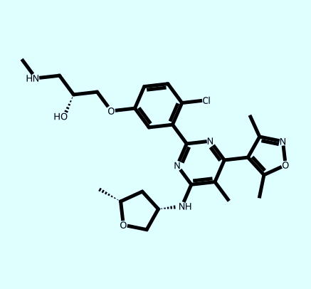 CNC[C@@H](O)COc1ccc(Cl)c(-c2nc(N[C@@H]3CO[C@H](C)C3)c(C)c(-c3c(C)noc3C)n2)c1